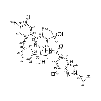 CC(C)(O)c1cc([C@@](O)(CNC(=O)c2cc(Cl)c3nn(C4CC4)cc3c2)c2ccccc2)nc(-c2cc(Cl)c(F)cc2F)c1F